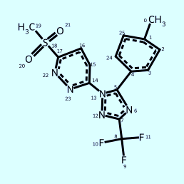 Cc1ccc(-c2nc(C(F)(F)F)nn2-c2ccc(S(C)(=O)=O)nn2)cc1